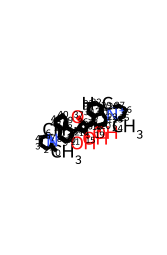 CC1CCCC(C)N1c1cc(O)c(C2=C(O)/C(=C3\C(O)=CC(=[N+]4C(C)CCCC4C)c4ccccc43)C2=O)c2ccccc12